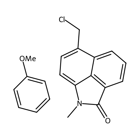 CN1C(=O)c2cccc3c(CCl)ccc1c23.COc1ccccc1